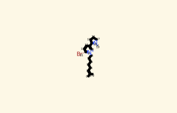 CC(C)=CCCCCC[n+]1cccc(C2CCCN2C)c1.[Br-]